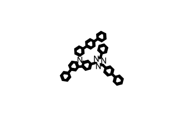 c1ccc(-c2ccc(-c3cccc(-n4c5ccc(-c6ccccc6)cc5c5ccc(-c6nc(-c7ccccc7)nc(-c7ccc(-c8ccccc8)cc7)n6)cc54)c3)cc2)cc1